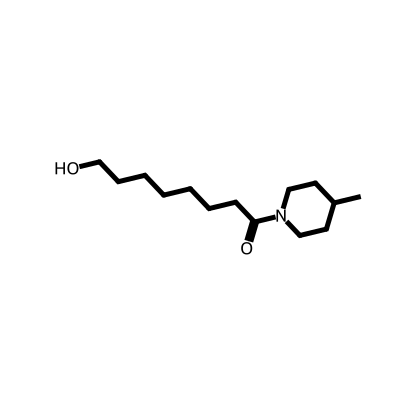 CC1CCN(C(=O)CCCCCCCO)CC1